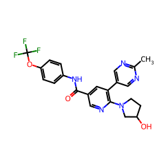 Cc1ncc(-c2cc(C(=O)Nc3ccc(OC(F)(F)F)cc3)cnc2N2CCC(O)C2)cn1